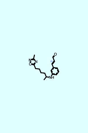 Cc1noc(CCCCC(C)Nc2cccc(/C=C/C=O)c2)n1